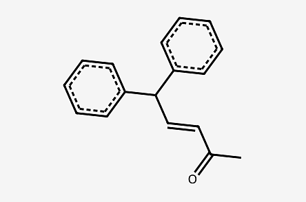 CC(=O)C=CC(c1ccccc1)c1ccccc1